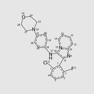 Fc1cccc(Cl)c1-c1nc2ccccn2c1Nc1ccc(N2CCOCC2)cc1